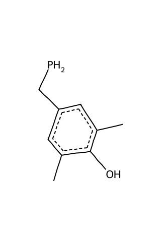 Cc1cc(CP)cc(C)c1O